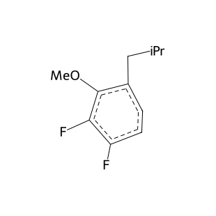 COc1c(CC(C)C)ccc(F)c1F